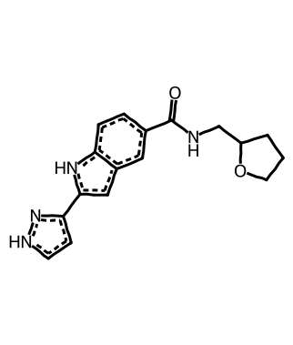 O=C(NCC1CCCO1)c1ccc2[nH]c(-c3cc[nH]n3)cc2c1